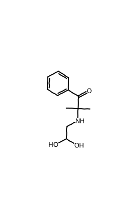 CC(C)(NCC(O)O)C(=O)c1ccccc1